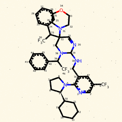 FC(F)(F)c1cnc(N2CCC[C@@H]2C2CCCCC2)c(CNC2N=CC(C(c3ccccc3)C(F)(F)F)(N3CCOCC3)CN2C(c2ccccc2)C(F)(F)F)c1